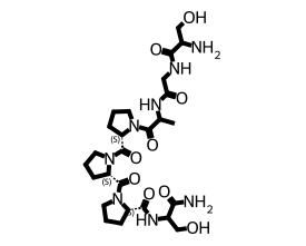 CC(NC(=O)CNC(=O)C(N)CO)C(=O)N1CCC[C@H]1C(=O)N1CCC[C@H]1C(=O)N1CCC[C@H]1C(=O)NC(CO)C(N)=O